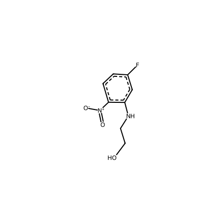 O=[N+]([O-])c1ccc(F)cc1NCCO